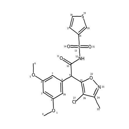 COc1cc(OC)cc(C(C(=O)NS(=O)(=O)c2ccsc2)c2onc(C)c2Cl)c1